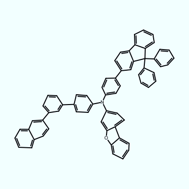 c1ccc(C2(c3ccccc3)c3ccccc3-c3ccc(-c4ccc(N(c5ccc(-c6cccc(-c7ccc8ccccc8c7)c6)cc5)c5ccc6c(c5)oc5ccccc56)cc4)cc32)cc1